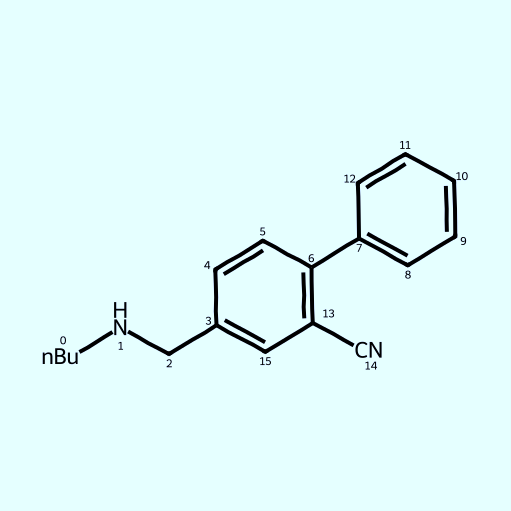 CC[CH]CNCc1ccc(-c2ccccc2)c(C#N)c1